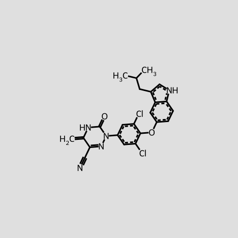 C=C1NC(=O)N(c2cc(Cl)c(Oc3ccc4[nH]cc(CC(C)C)c4c3)c(Cl)c2)N=C1C#N